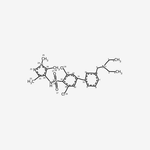 CCN(CC)Cc1cccc(-c2cc(Cl)c(S(=O)(=O)Nc3c(C)nn(C)c3C)c(Cl)c2)c1